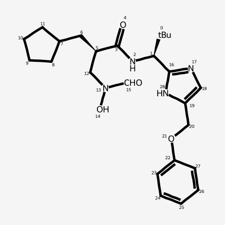 CC(C)(C)[C@H](NC(=O)[C@H](CC1CCCC1)CN(O)C=O)c1ncc(COc2ccccc2)[nH]1